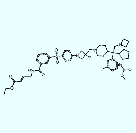 CCOC(=O)/C=C/CNC(=O)c1cccc(S(=O)(=O)c2ccc(N3CC(F)(CN4CCC([C@@](CN5CCC5)(c5cccc(F)c5)[C@H]5CCC[C@@H]5NC(=O)OC)CC4)C3)cc2)c1